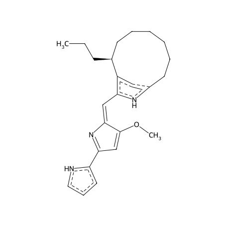 CCC[C@H]1CCCCCCc2cc1c(/C=C1/N=C(c3ccc[nH]3)C=C1OC)[nH]2